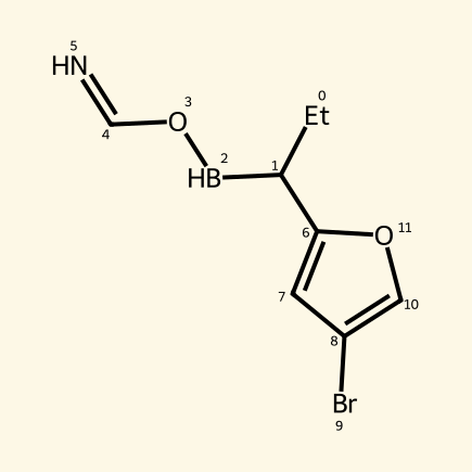 CCC(BOC=N)c1cc(Br)co1